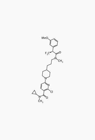 COc1cccc([C@@H](C(=O)N(C)CCCC2CCN(c3ccc(C(=O)N(C)C4CC4)c(Cl)n3)CC2)C(F)(F)F)c1